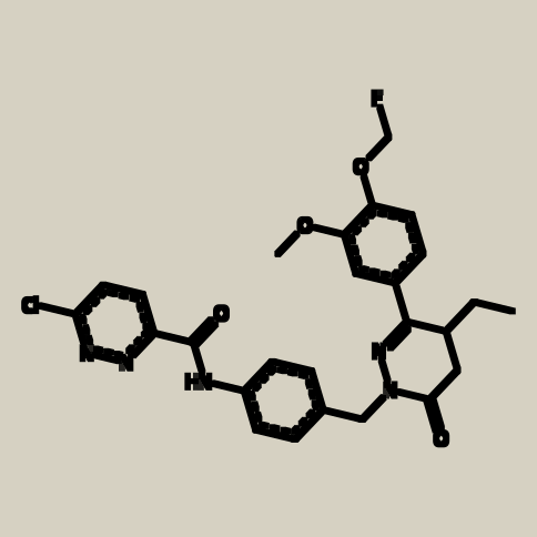 CCC1CC(=O)N(Cc2ccc(NC(=O)c3ccc(Cl)nn3)cc2)N=C1c1ccc(OCF)c(OC)c1